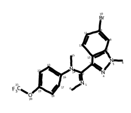 CN=C(c1nn(C)c2cc(Br)ccc12)N(C)c1ccc(OC(F)(F)F)cc1